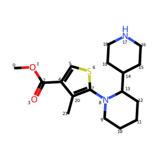 COC(=O)c1csc(N2CCCCC2C2CCNCC2)c1C